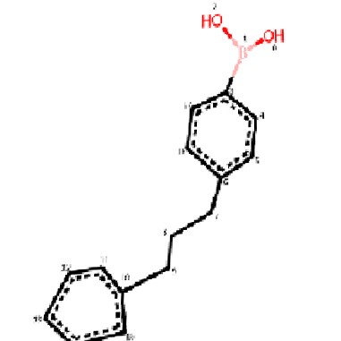 OB(O)c1ccc(CCCc2ccccc2)cc1